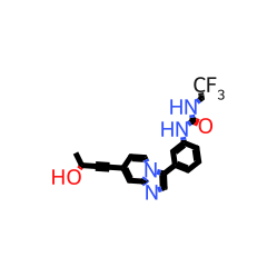 CC(O)C#Cc1ccn2c(-c3cccc(NC(=O)NCC(F)(F)F)c3)cnc2c1